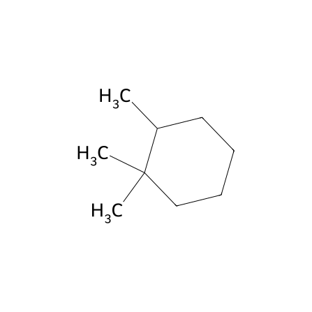 CC1CCCCC1(C)C